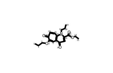 CCCOc1cc2c(=O)cc(C(=O)OCC)n(CCC)c2ccc1=O